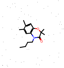 CCCCN1C(=O)C(C)(C)Oc2cc(C)c(C)cc21